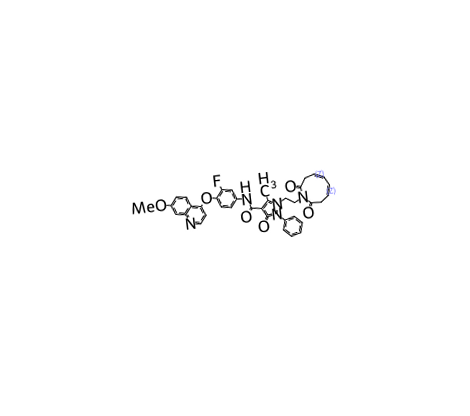 COc1ccc2c(Oc3ccc(NC(=O)c4c(C)n(CCN5C(=O)C/C=C\C=C/CC5=O)n(-c5ccccc5)c4=O)cc3F)ccnc2c1